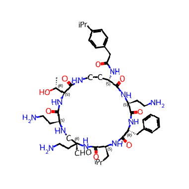 CC(C)C[C@@H]1NC(=O)[C@@H](Cc2ccccc2)NC(=O)[C@H](CCN)NC(=O)[C@@H](NC(=O)Cc2ccc(C(C)C)cc2)CCNC(=O)[C@H]([C@@H](C)O)NC(=O)[C@H](CCN)NC[C@@](C=O)(CCN)NC1=O